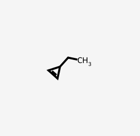 CCC1C=C1